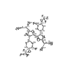 N#CC(C#N)=c1nc(-c2ccc(OC(F)(F)F)c(F)c2)/c(=c2\oc(=C(C#N)C#N)nc2-c2ccc(OC(F)(F)F)c(F)c2)o1